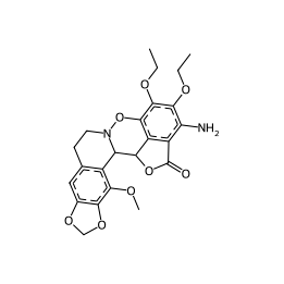 CCOc1c(N)c2c3c(c1OCC)ON1CCc4cc5c(c(OC)c4C1C3OC2=O)OCO5